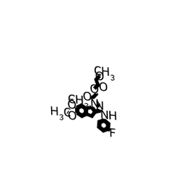 COCC(=O)OCC(=O)n1nc(Nc2cccc(F)c2)c2c1-c1cc(OC)c(OC)cc1C2